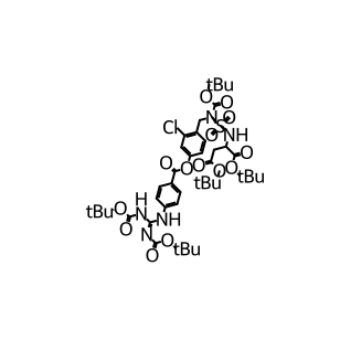 CC(C)(C)OC(=O)CC(NS(=O)(=O)N(Cc1ccc(OC(=O)c2ccc(NC(=NC(=O)OC(C)(C)C)NC(=O)OC(C)(C)C)cc2)cc1Cl)C(=O)OC(C)(C)C)C(=O)OC(C)(C)C